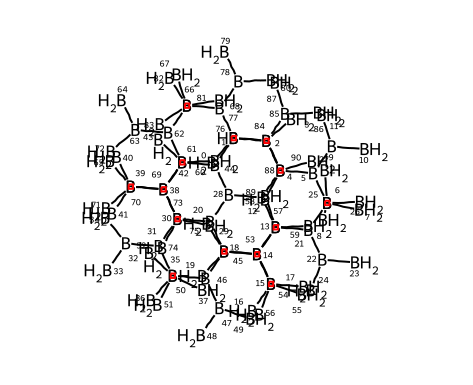 BBB(B)B(B(B(B)B)B(B)B)B(B(B(B(B)B)B(B)B)B(B(B)B)B(B)B)B(B(B(B(B(B)B)B(B)B)B(B(B)B)B(B)B)B(B(B(B)B)B(B)B)B(B(B)B)B(B)B)B(B(B(B(B)B)B(B)B)B(B(B)B)B(B)B)B(B(B(B)B)B(B)B)B(B(B)B)B(B)B